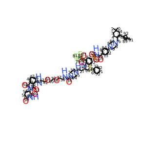 CC1(C)CCC(CN2CCN(c3ccc(C(=O)NS(=O)(=O)c4ccc(N[C@H](CCN5CCN(C(=O)NCCOCCOCCNc6cccc7c6C(=O)N(C6CCC(=O)NC6=O)C7=O)CC5)CSc5ccccc5)c(S(=O)(=O)C(F)(F)F)c4)cc3)CC2)=C(C23CC(C)(C2)C3)C1